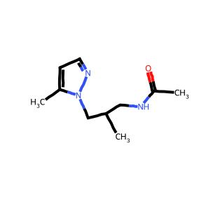 CC(=O)NCC(C)Cn1nccc1C